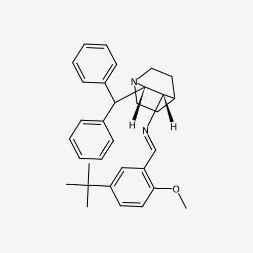 COc1ccc(C(C)(C)C)cc1/C=N/[C@H]1C2CCN(CC2)[C@H]1C(c1ccccc1)c1ccccc1